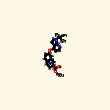 CC(C)[Si](C(C)C)(C(C)C)n1ccc2c(Oc3ccc4c(c3)C3CCC4CN3C(=O)OC(C)(C)C)ccnc21